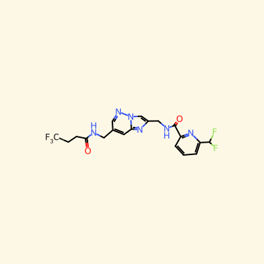 O=C(CCC(F)(F)F)NCc1cnn2cc(CNC(=O)c3cccc(C(F)F)n3)nc2c1